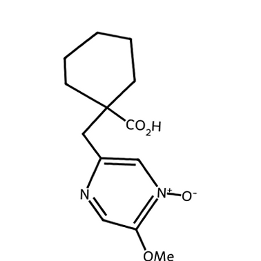 COc1cnc(CC2(C(=O)O)CCCCC2)c[n+]1[O-]